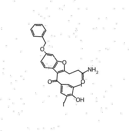 NC(=O)CCc1oc2cc(OCc3ccccc3)ccc2c1C(=O)c1cc(I)c(O)c(I)c1